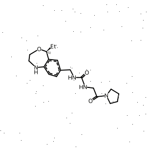 CC[C@@H]1OCCNc2ccc(CNC(=O)NCC(=O)N3CCCC3)cc21